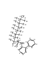 O=S(=O)(Nc1ccccc1-c1ccccc1)C(F)(F)C(F)(F)C(F)(F)C(F)(F)C(F)(F)C(F)(F)C(F)(F)C(F)(F)F